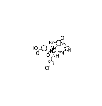 N#Cc1c(-c2cn(Cc3cncs3)c(=O)cc2Br)nn(C(=O)c2cccc(C(=O)O)c2)c1NCc1ccc(Cl)s1